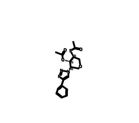 CC(=O)O[C@@H]1[C@@H](SC(C)=O)COC[C@@H]1n1cc(-c2ccccc2)nn1